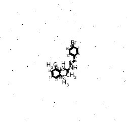 C=C(N/N=C/c1ccc(Br)cc1)Nc1c(C)cccc1C